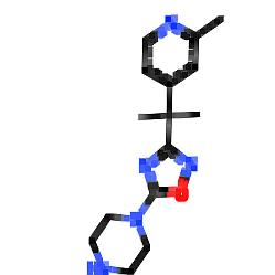 Cc1cc(C(C)(C)c2noc(N3CCNCC3)n2)ccn1